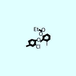 CCC(=O)Oc1cccc(I)c1COc1ccc(C)cc1Cl